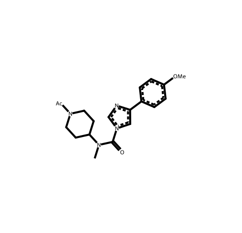 COc1ccc(-c2cn(C(=O)N(C)C3CCN(C(C)=O)CC3)cn2)cc1